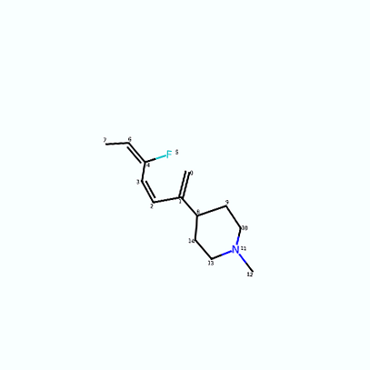 C=C(/C=C\C(F)=C/C)C1CCN(C)CC1